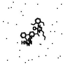 CCCCc1cn(-c2c(CC)cccc2CC)c(=O)n1C(C)c1ccc(-c2ccccc2-c2nnn[nH]2)nc1